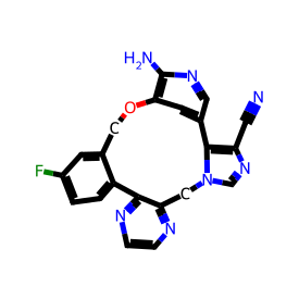 N#Cc1ncn2c1-c1cnc(N)c(c1)OCc1cc(F)ccc1-c1nccnc1C2